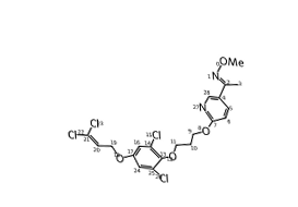 CON=C(C)c1ccc(OCCCOc2c(Cl)cc(OCC=C(Cl)Cl)cc2Cl)nc1